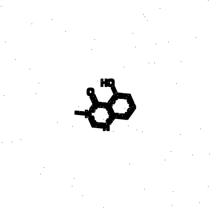 Cn1cnc2cccc(O)c2c1=O